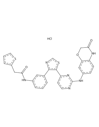 Cl.O=C(Cc1cccs1)Nc1cccc(-c2ncsc2-c2ccnc(Nc3ccc4c(c3)OCC(=O)N4)n2)c1